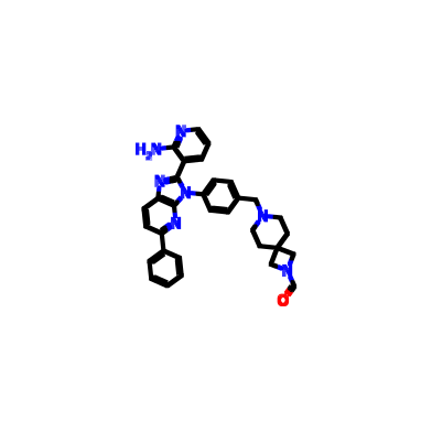 Nc1ncccc1-c1nc2ccc(-c3ccccc3)nc2n1-c1ccc(CN2CCC3(CC2)CN(C=O)C3)cc1